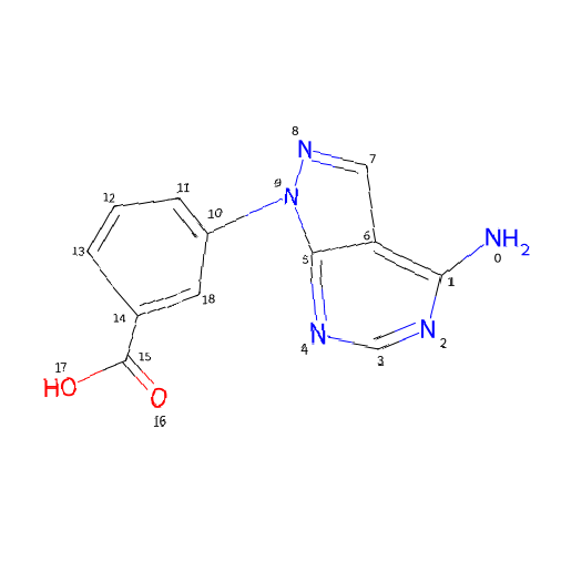 Nc1ncnc2c1cnn2-c1cccc(C(=O)O)c1